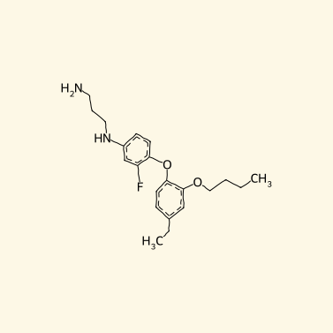 CCCCOc1cc(CC)ccc1Oc1ccc(NCCCN)cc1F